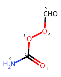 NC(=O)OOC=O